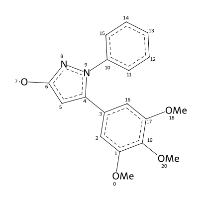 COc1cc(-c2cc([O])nn2-c2ccccc2)cc(OC)c1OC